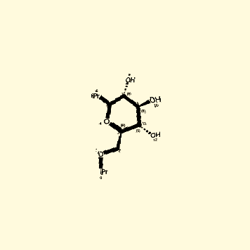 CC(C)OC[C@H]1OC(C(C)C)[C@H](O)[C@@H](O)[C@@H]1O